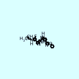 CN(C)CCNc1cc(F)cc(-c2ccnc3[nH]c(-c4n[nH]c5ccc(-c6cncc(OC7CCCCC7)c6)nc45)cc23)c1